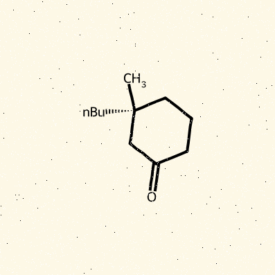 CCCC[C@]1(C)CCCC(=O)C1